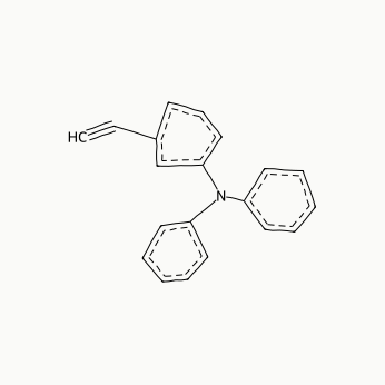 C#Cc1cccc(N(c2ccccc2)c2ccccc2)c1